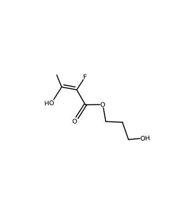 C/C(O)=C(\F)C(=O)OCCCO